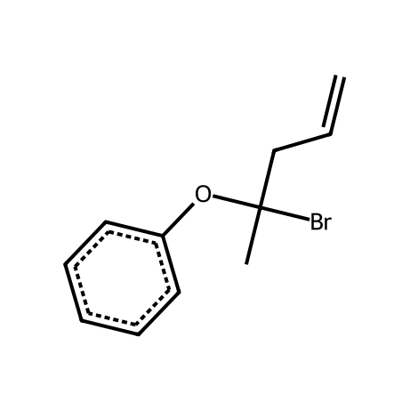 C=CCC(C)(Br)Oc1ccccc1